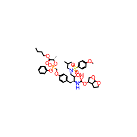 CCCCOC(=O)[C@H](C)OP(=O)(COc1ccc(C[C@H](NC(=O)O[C@H]2COC3OCCC32)[C@H](O)CN(CC(C)C)S(=O)(=O)c2ccc(OC)cc2)cc1)Oc1ccccc1